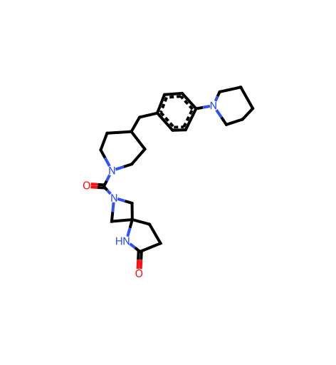 O=C1CCC2(CN(C(=O)N3CCC(Cc4ccc(N5CCCCC5)cc4)CC3)C2)N1